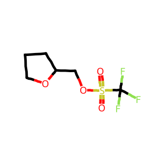 O=S(=O)(OCC1CCCO1)C(F)(F)F